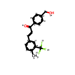 Cc1ccc(/C=C/C(=O)c2ccc(CO)cc2)cc1C(F)(F)F